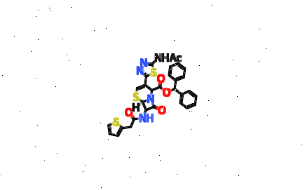 CC(=O)Nc1nnc(C2=CS[C@@H]3C(NC(=O)Cc4cccs4)C(=O)N3C2C(=O)OC(c2ccccc2)c2ccccc2)s1